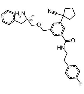 C[C@](N)(COCc1cc(C(=O)NCCc2ccc(F)cc2)cc(C2(C#N)CCCC2)c1)Cc1ccccc1